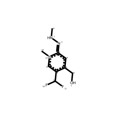 CN/N=c1/cc(CO)c(C(F)F)cn1C